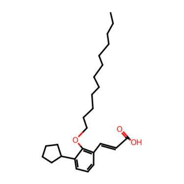 CCCCCCCCCCCCOc1c(C=CC(=O)O)cccc1C1CCCC1